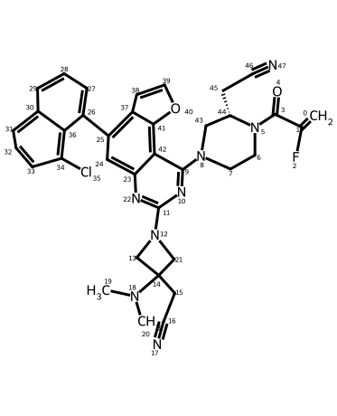 C=C(F)C(=O)N1CCN(c2nc(N3CC(CC#N)(N(C)C)C3)nc3cc(-c4cccc5cccc(Cl)c45)c4ccoc4c23)C[C@@H]1CC#N